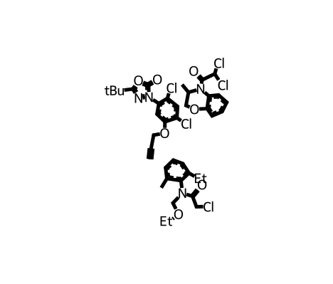 C#CCOc1cc(-n2nc(C(C)(C)C)oc2=O)c(Cl)cc1Cl.CC1COc2ccccc2N1C(=O)C(Cl)Cl.CCOCN(C(=O)CCl)c1c(C)cccc1CC